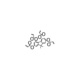 C=CC(=O)Oc1cc(OC(=O)C=C)c2c(c1)C(C)(C)c1cc(OC(=O)C=C)cc(OC(=O)C=C)c1-2